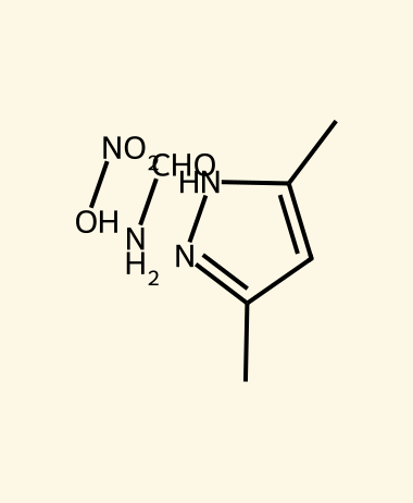 Cc1cc(C)[nH]n1.NC=O.O=[N+]([O-])O